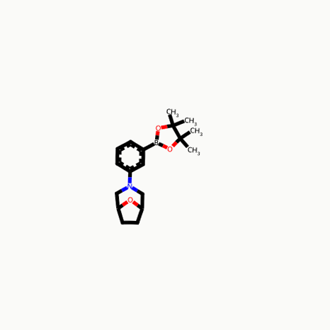 CC1(C)OB(c2cccc(N3CC4CCC(C3)O4)c2)OC1(C)C